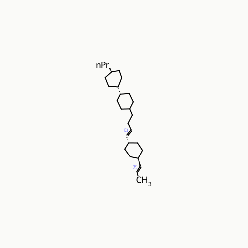 C/C=C/[C@H]1CC[C@H](/C=C/CCC2CCC([C@H]3CC[C@H](CCC)CC3)CC2)CC1